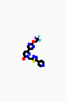 O=c1ccc(-c2cnc(OCC(F)(F)I)nc2)nn1Cc1nnc(-c2ccncc2)s1